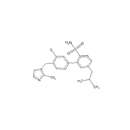 Cc1nccn1Cc1ccc(-c2cc(CC(C)C)ccc2S(N)(=O)=O)cc1Cl